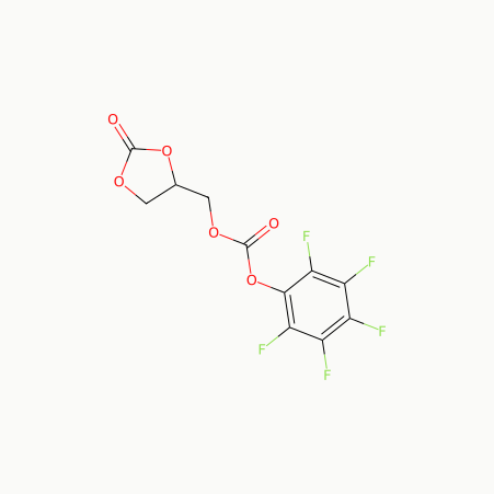 O=C(OCC1COC(=O)O1)Oc1c(F)c(F)c(F)c(F)c1F